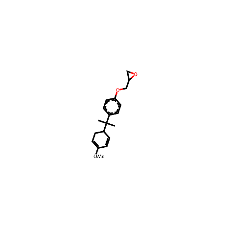 COC1=CCC(C(C)(C)c2ccc(OCC3CO3)cc2)C=C1